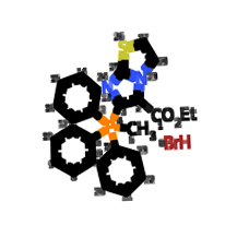 Br.CCOC(=O)c1c(P(C)(c2ccccc2)(c2ccccc2)c2ccccc2)nc2sccn12